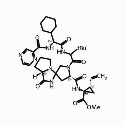 C=C[C@@H]1C[C@]1(NC(=O)[C@@H]1CC2(CN1C(=O)C(NC(=O)[C@@H](NC(=O)c1cnccn1)C1CCCCC1)C(C)(C)C)NC(=O)[C@@H]1CCCN12)C(=O)OC